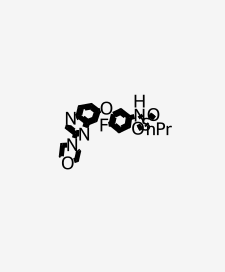 CCCS(=O)(=O)Nc1ccc(F)c(Oc2ccc3ncc(N4CCOCC4)nc3c2)c1